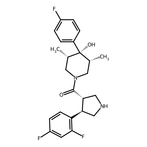 C[C@@H]1CN(C(=O)[C@@H]2CNC[C@H]2c2ccc(F)cc2F)C[C@H](C)[C@@]1(O)c1ccc(F)cc1